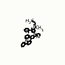 C=C/C=C\N=C(/C)c1cc(-n2c3ccc(-c4cccc5c6ccccc6n(-c6ccccc6)c45)cc3c3ncccc32)cc(-c2ccccn2)n1